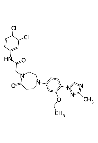 CCOc1cc(N2CCC(=O)N(CC(=O)NC3=CC(Cl)C(Cl)C=C3)CC2)ccc1-n1cnc(C)n1